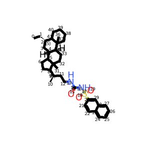 CC[C@H]1C[C@H]2C3CCC([C@H](C)CCNC(=O)NS(=O)(=O)c4ccc5ccccc5c4)C3(C)CC[C@@H]2C2(C)CCCCC12